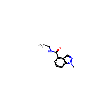 Cn1ncc2c(C(=O)NCC(=O)O)cccc21